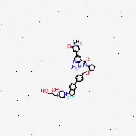 Cn1ccc(-c2cnc(N)c(C(=O)N[C@H]3CCC[C@@H]3OCc3ccc(-c4ccc5c(c4)CC(F)(F)C5N4CCN(C[C@H](O)CO)CC4)cc3)c2)cc1=O